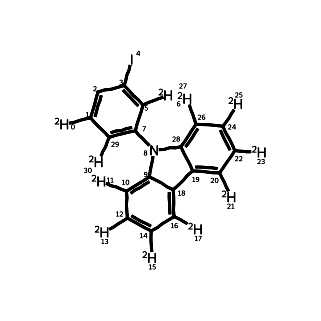 [2H]c1cc(I)c([2H])c(-n2c3c([2H])c([2H])c([2H])c([2H])c3c3c([2H])c([2H])c([2H])c([2H])c32)c1[2H]